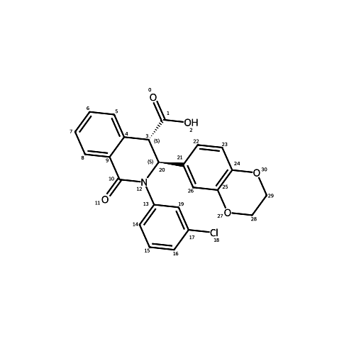 O=C(O)[C@H]1c2ccccc2C(=O)N(c2cccc(Cl)c2)[C@@H]1c1ccc2c(c1)OCCO2